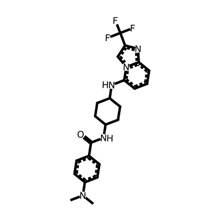 CN(C)c1ccc(C(=O)NC2CCC(Nc3cccc4nc(C(F)(F)F)cn34)CC2)cc1